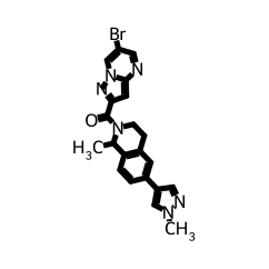 CC1c2ccc(-c3cnn(C)c3)cc2CCN1C(=O)c1cc2ncc(Br)cn2n1